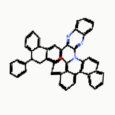 c1ccc(C2Cc3ccc(-c4nc5ccccc5nc4N4c5ccc6ccccc6c5-c5cccc6cccc4c56)cc3-c3ccccc32)cc1